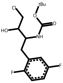 CC(C)(C)OC(=O)NC(Cc1cc(F)ccc1F)C(O)CCl